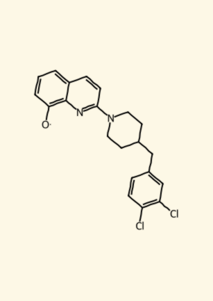 [O]c1cccc2ccc(N3CCC(Cc4ccc(Cl)c(Cl)c4)CC3)nc12